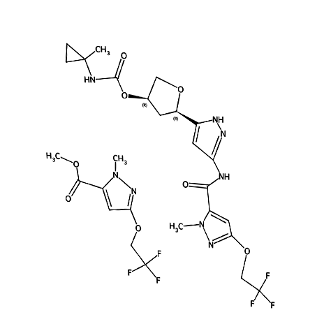 COC(=O)c1cc(OCC(F)(F)F)nn1C.Cn1nc(OCC(F)(F)F)cc1C(=O)Nc1cc([C@H]2C[C@@H](OC(=O)NC3(C)CC3)CO2)[nH]n1